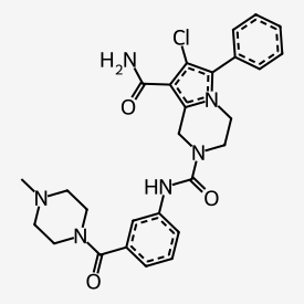 CN1CCN(C(=O)c2cccc(NC(=O)N3CCn4c(c(C(N)=O)c(Cl)c4-c4ccccc4)C3)c2)CC1